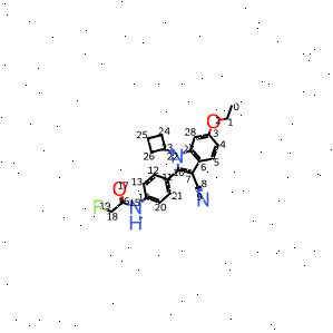 CCOc1ccc2c(C#N)c(-c3ccc(NC(=O)CF)cc3)n(C3CCC3)c2c1